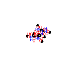 CC(C)(C)OC(=O)NC[C@H]1OC(OC2C(O)[C@@H](O[C@H]3OC(CO)[C@@H](O)C(NC(=O)OC(C)(C)C)C3O)C(NC(=O)OC(C)(C)C)C[C@@H]2NC(=O)OC(C)(C)C)[C@H](NC(=O)OC(C)(C)C)CC1O